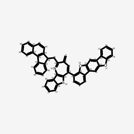 C=C1C=C(c2cccc3c2oc2cc4c(cc23)oc2ccccc24)c2sc3ccccc3c2N=C1CC1c2ccccc2-c2c1ccc1ccccc21